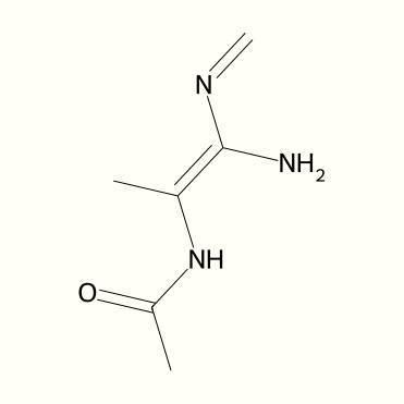 C=N/C(N)=C(\C)NC(C)=O